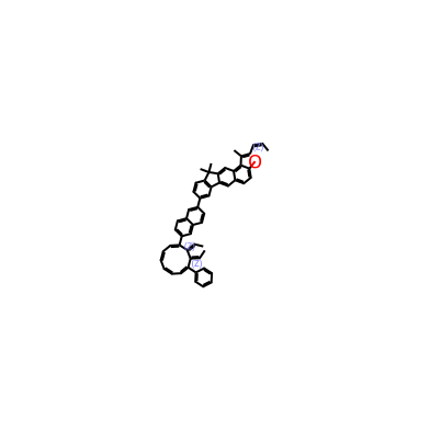 C/C=C\c1oc2ccc3cc4c(cc3c2c1C)C(C)(C)c1ccc(-c2ccc3cc(-c5ccccccc(-c6ccccc6)c(=C/C)/c5=C\C)ccc3c2)cc1-4